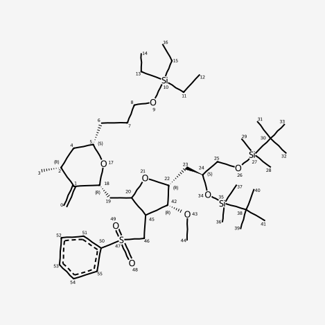 C=C1[C@H](C)C[C@H](CCCO[Si](CC)(CC)CC)O[C@@H]1CC1O[C@H](C[C@@H](CO[Si](C)(C)C(C)(C)C)O[Si](C)(C)C(C)(C)C)[C@H](OC)C1CS(=O)(=O)c1ccccc1